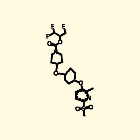 Cc1nc(S(C)(=O)=O)ccc1OC1CCC(OC2CCN(C(=O)OC(CF)C(F)F)CC2)CC1